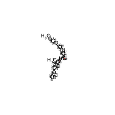 CCOc1ccc(OCc2ccc(CN3CCN(C(=O)/C=C/c4cc(C)c(Oc5ccc(OCc6ccccc6Cl)cn5)c(Cl)c4)CC3)cc2)cc1.Cl